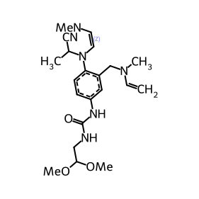 C=CN(C)Cc1cc(NC(=O)NCC(OC)OC)ccc1N(/C=C\NC)C(C)C#N